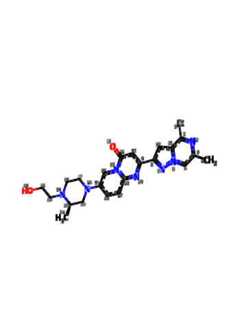 CCc1nc(C)cn2nc(-c3cc(=O)n4cc(N5CCN(CCO)[C@H](C)C5)ccc4n3)cc12